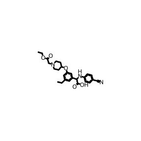 CCOC(=O)CN1CCC(Oc2cc(CC)cc(C(Nc3ccc(C#N)cc3)C(=O)O)c2)CC1